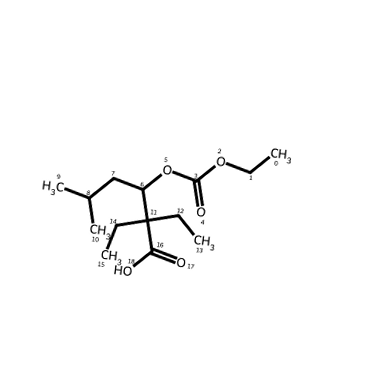 CCOC(=O)OC(CC(C)C)C(CC)(CC)C(=O)O